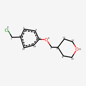 ClCc1ccc(OCC2CCOCC2)cc1